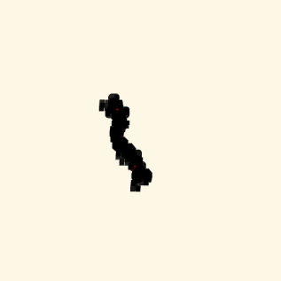 CC1(C)[C@H](NC(=O)c2ccc(N3CCC(CN4CCN(c5cc6c(cc5F)C(=O)N([C@H]5CCC(=O)NC5=O)C6)CC4)CC3)c(F)c2)C(C)(C)[C@H]1Oc1ccc(C#N)c2ncccc12